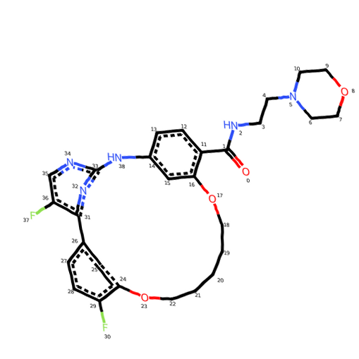 O=C(NCCN1CCOCC1)c1ccc2cc1OCCCCCOc1cc(ccc1F)-c1nc(ncc1F)N2